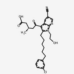 C[C@@H](CC(=O)O)CC(=O)c1c(CCCCCCc2cccc(Cl)c2)n(CCO)c2ncc(C#N)cc12